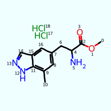 COC(=O)C(N)Cc1cc(C)c2[nH]ncc2c1.Cl.Cl